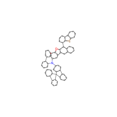 c1ccc(-c2ccccc2N(c2ccc3c(c2)C2(c4ccccc4-c4ccccc42)c2ccccc2-3)c2ccc3oc4c(-c5cccc6c5sc5ccccc56)c5ccccc5cc4c3c2)cc1